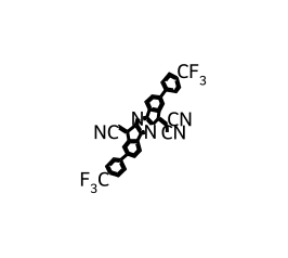 N#C/C=C1\c2cc(-c3ccc(C(F)(F)F)cc3)ccc2-c2nc3c(nc21)-c1ccc(-c2ccc(C(F)(F)F)cc2)cc1C3=C(C#N)C#N